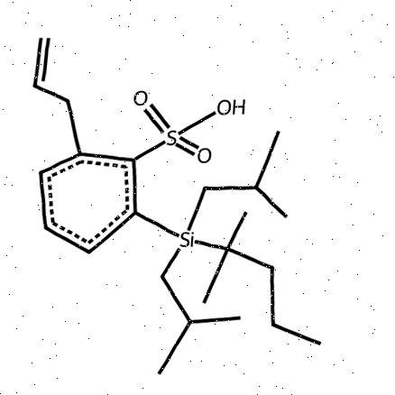 C=CCc1cccc([Si](CC(C)C)(CC(C)C)C(C)(C)CCC)c1S(=O)(=O)O